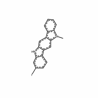 Cn1c2ccccc2c2cc3[nH]c4cc(I)ccc4c3cc21